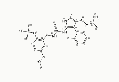 COCc1ccc(OC(F)(F)F)c(CNC(=O)Nc2[nH]nc(OC[C@H](C)N)c2-c2ccccc2C)c1